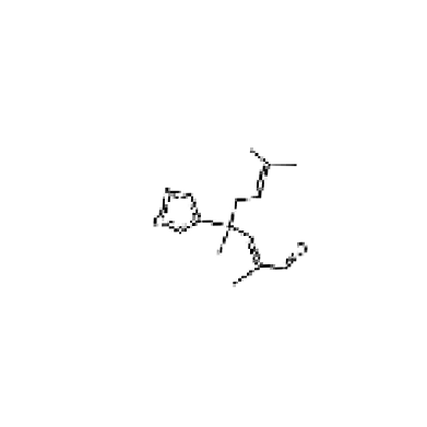 CC(C)=CCC(C)(/C=C(\C)C=O)c1ccoc1